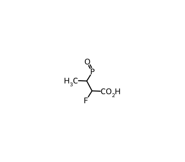 CC(P=O)C(F)C(=O)O